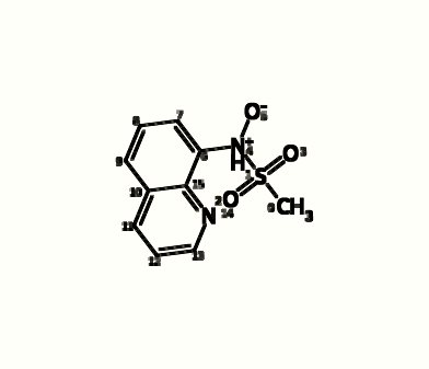 CS(=O)(=O)[NH+]([O-])c1cccc2cccnc12